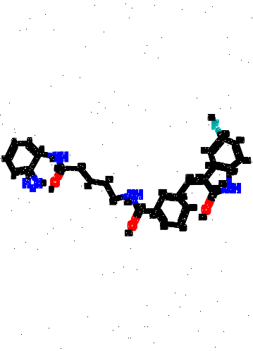 Nc1ccccc1NC(=O)CCCCNC(=O)c1cccc(C=C2C(=O)Nc3ccc(F)cc32)c1